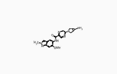 COc1cc2nn(C)cc2cc1NC(=O)c1cnc(N2CC3C(N)C3C2)cn1